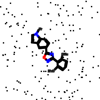 COc1cccc(OC)c1-c1noc(-c2ccc3c(ccn3C(C)C)c2)n1